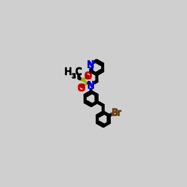 CCS(=O)(=O)N(Cc1cccnc1)c1cccc(Cc2ccccc2Br)c1